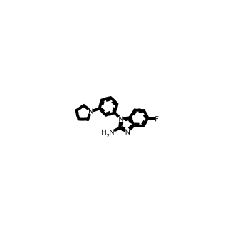 Nc1nc2cc(F)ccc2n1-c1cccc(N2CCCC2)c1